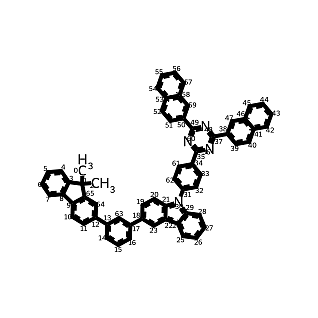 CC1(C)c2ccccc2-c2ccc(-c3cccc(-c4ccc5c(c4)c4ccccc4n5-c4ccc(-c5nc(-c6ccc7ccccc7c6)nc(-c6ccc7ccccc7c6)n5)cc4)c3)cc21